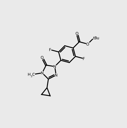 Cn1c(C2CC2)nn(-c2cc(F)c(C(=O)OC(C)(C)C)cc2F)c1=O